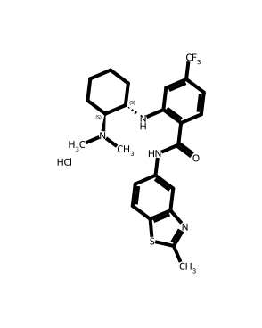 Cc1nc2cc(NC(=O)c3ccc(C(F)(F)F)cc3N[C@H]3CCCC[C@@H]3N(C)C)ccc2s1.Cl